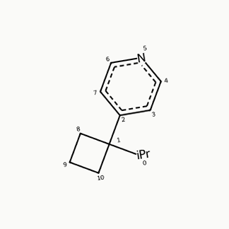 CC(C)C1(c2ccncc2)CCC1